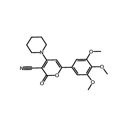 COc1cc(-c2cc(N3CCCCC3)c(C#N)c(=O)o2)cc(OC)c1OC